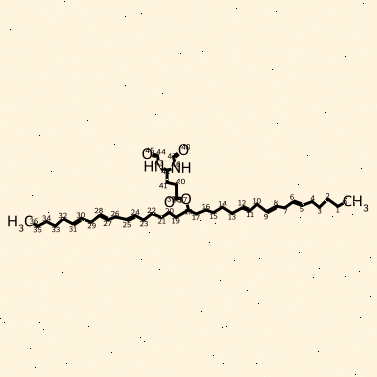 CCCCCC=CCC=CCC=CCCCCCC(CCCCCC=CCC=CCC=CCCCCC)OC(=O)CCC(NC=O)NC=O